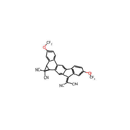 N#CC(C#N)=C1c2cc(OC(F)(F)F)ccc2-c2cc3c(cc21)C1C(c2cc(OC(F)(F)F)ccc2-3)C1(C#N)C#N